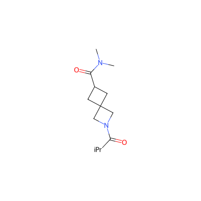 CC(C)C(=O)N1CC2(CC(C(=O)N(C)C)C2)C1